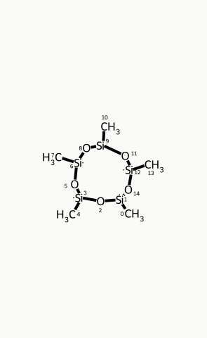 C[Si]1O[Si](C)O[Si](C)O[Si](C)O[Si](C)O1